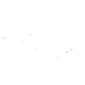 O=C(O)Cn1c(-c2ccccc2)ncc(NCCCO[C@@H]2CO[C@H]3[C@@H]2OC[C@H]3O)c1=O